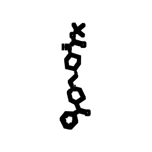 CC(C)(C)OC(=O)N[C@H]1CC[C@H](CCN2CCC(C(=O)c3ccccc3)CC2)CC1